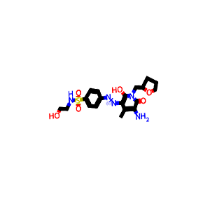 Cc1c(/N=N/c2ccc(S(=O)(=O)NCCO)cc2)c(O)n(CC2CCCO2)c(=O)c1N